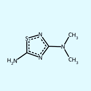 CN(C)c1nsc(N)n1